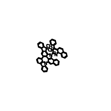 CC1(C)c2ccccc2-c2cc3c4cccc5c6ccccc6n(c6cc7ccccc7c7c6c3c(c21)n7-c1nc(-c2ccccc2)c2ccc3ccccc3c2n1)c45